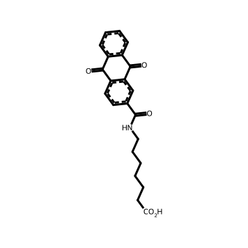 O=C(O)CCCCCCNC(=O)c1ccc2c(c1)C(=O)c1ccccc1C2=O